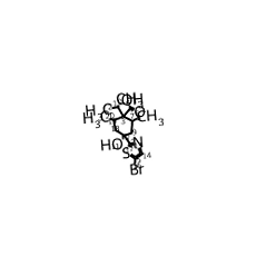 CC(C)C1(C(=O)O)C(C)CC(O)(c2ncc(Br)s2)CC1C